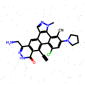 C#Cc1c2c(=O)[nH]nc(CN)c2cc2c3cnn(C)c3c3c(C#N)c(N4CCCC4)cc(Cl)c3c12